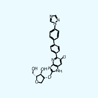 OC[C@H]1OC[C@@H](Oc2nc3nc(-c4ccc(-c5ccc(-n6cncn6)cc5)cc4)c(Cl)cc3[nH]2)[C@@H]1O